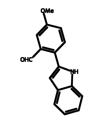 COc1ccc(-c2cc3ccccc3[nH]2)c(C=O)c1